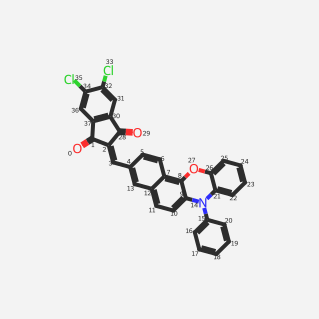 O=C1C(=Cc2ccc3c4c(ccc3c2)N(c2ccccc2)c2ccccc2O4)C(=O)c2cc(Cl)c(Cl)cc21